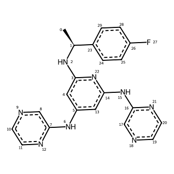 C[C@H](Nc1cc(Nc2cnccn2)cc(Nc2cnccn2)n1)c1ccc(F)cc1